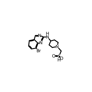 O=[SH](=O)CN1CCC(Nc2ncc3cccc(Br)c3n2)CC1